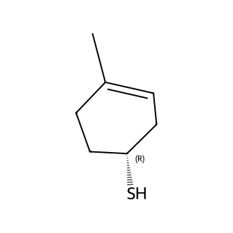 CC1=CC[C@H](S)CC1